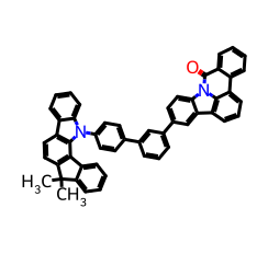 CC1(C)c2ccccc2-c2c1ccc1c3ccccc3n(-c3ccc(-c4cccc(-c5ccc6c(c5)c5cccc7c8ccccc8c(=O)n6c75)c4)cc3)c21